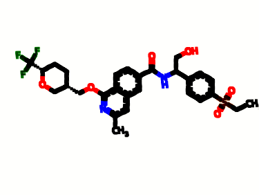 CCS(=O)(=O)c1ccc(C(CO)NC(=O)c2ccc3c(OC[C@H]4CC[C@@H](C(F)(F)F)OC4)nc(C)cc3c2)cc1